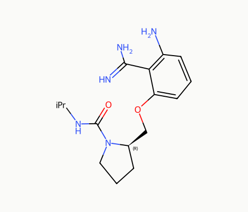 CC(C)NC(=O)N1CCC[C@@H]1COc1cccc(N)c1C(=N)N